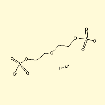 O=S(=O)([O-])OCCOCCOS(=O)(=O)[O-].[Li+].[Li+]